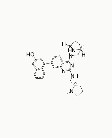 CN1CCC[C@H]1CNc1nc(N2C[C@H]3CC[C@@H](C2)N3)c2ccc(-c3cc(O)cc4ccccc34)cc2n1